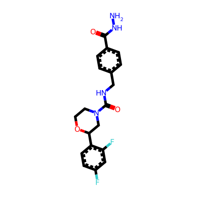 NNC(=O)c1ccc(CNC(=O)N2CCOC(c3ccc(F)cc3F)C2)cc1